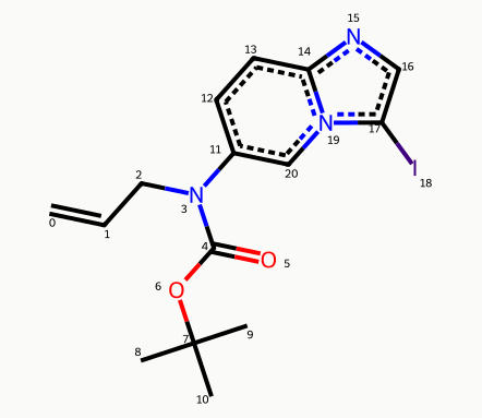 C=CCN(C(=O)OC(C)(C)C)c1ccc2ncc(I)n2c1